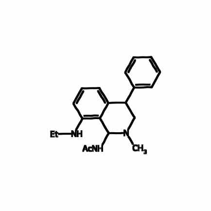 CCNc1cccc2c1C(NC(C)=O)N(C)CC2c1ccccc1